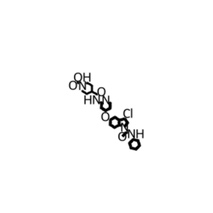 O=C(Nc1cc(Oc2ccc3c(c2)c(Cl)cn3C(=O)Nc2ccccc2)ccn1)C1CCN(C(=O)O)CC1